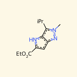 CCOC(=O)c1cc2nn(C)c(C(C)C)c2[nH]1